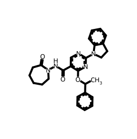 CC(Oc1nc(N2CCc3ccccc32)ncc1C(=O)NN1CCCCCC1=O)c1ccccc1